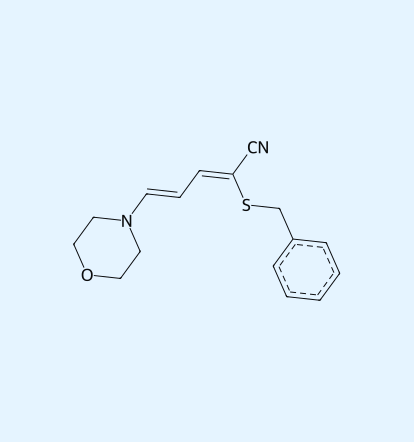 N#CC(=CC=CN1CCOCC1)SCc1ccccc1